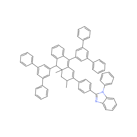 CC1CC2(C)C(=C(c3cc(-c4ccccc4)cc(-c4ccccc4)c3)c3ccccc3C2c2cc(-c3ccccc3)cc(-c3ccccc3)c2)C=C1c1ccc(-c2nc3ccccc3n2-c2ccccc2)cc1